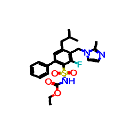 CCOC(=O)NS(=O)(=O)c1c(-c2ccccc2)cc(CC(C)C)c(Cn2ccnc2C)c1F